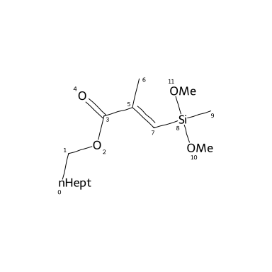 CCCCCCCCOC(=O)C(C)=C[Si](C)(OC)OC